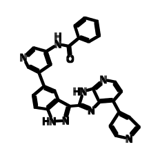 O=C(Nc1cncc(-c2ccc3[nH]nc(-c4nc5c(-c6ccncc6)ccnc5[nH]4)c3c2)c1)c1ccccc1